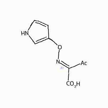 CC(=O)/C(=N\Oc1cc[nH]c1)C(=O)O